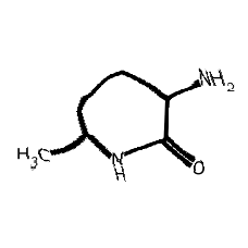 CC1CCC(N)C(=O)N1